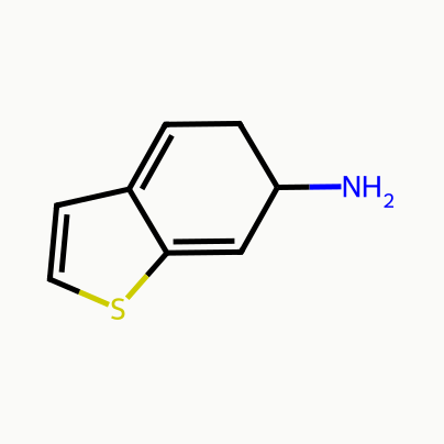 NC1C=c2sccc2=CC1